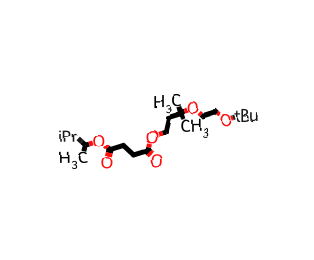 CC(C)C(C)OC(=O)CCC(=O)OCCC(C)(C)OCCOC(C)(C)C